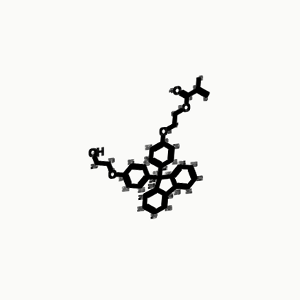 C=C(C)C(=O)OCCOc1ccc(C2(c3ccc(OCCO)cc3)c3ccccc3-c3ccccc32)cc1